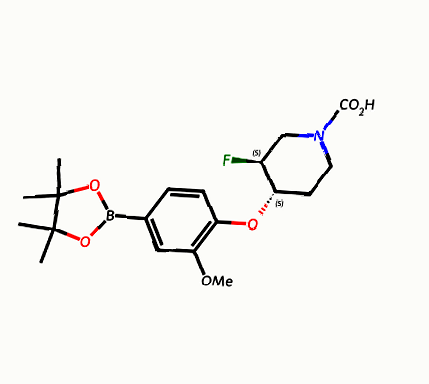 COc1cc(B2OC(C)(C)C(C)(C)O2)ccc1O[C@H]1CCN(C(=O)O)C[C@@H]1F